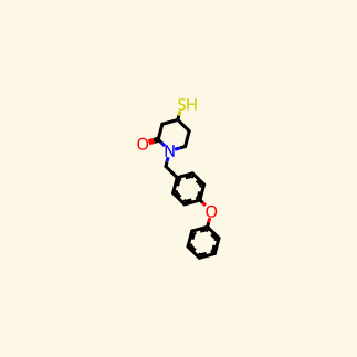 O=C1CC(S)CCN1Cc1ccc(Oc2ccccc2)cc1